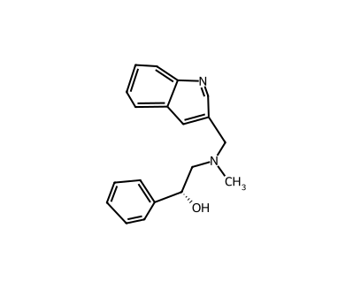 CN(Cc1cnc2ccccc2c1)C[C@H](O)c1ccccc1